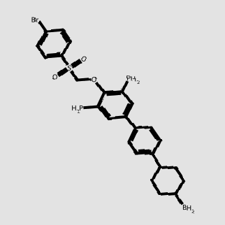 BC1CCC(c2ccc(-c3cc(P)c(OCS(=O)(=O)c4ccc(Br)cc4)c(P)c3)cc2)CC1